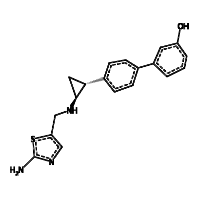 Nc1ncc(CN[C@H]2C[C@@H]2c2ccc(-c3cccc(O)c3)cc2)s1